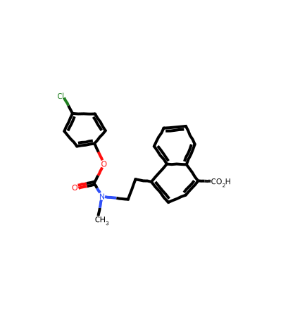 CN(CCc1ccc(C(=O)O)c2ccccc12)C(=O)Oc1ccc(Cl)cc1